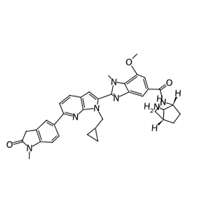 COc1cc(C(=O)N2C[C@H]3CC[C@@H]2[C@@H]3N)cc2nc(-c3cc4ccc(-c5ccc6c(c5)CC(=O)N6C)nc4n3CC3CC3)n(C)c12